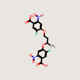 CC(CCOc1cc([N+](=O)[O-])c(C(=O)O)cc1F)Oc1cc([N+](=O)[O-])c(C(=O)O)cc1F